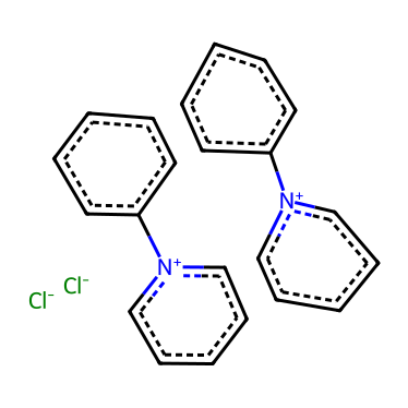 [Cl-].[Cl-].c1ccc(-[n+]2ccccc2)cc1.c1ccc(-[n+]2ccccc2)cc1